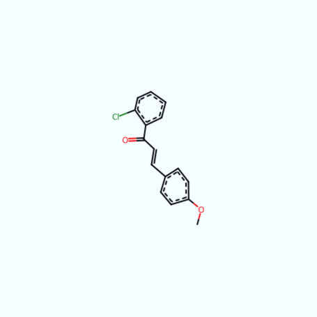 COc1ccc(/C=C/C(=O)c2ccccc2Cl)cc1